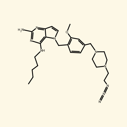 CCCCCNc1nc(N)nc2ccn(Cc3ccc(CN4CCN(CCN=[N+]=[N-])CC4)cc3OC)c12